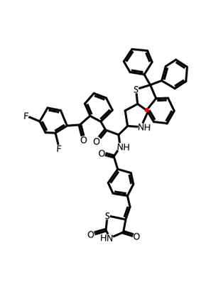 O=C1NC(=O)C(=Cc2ccc(C(=O)NC(C(=O)c3ccccc3C(=O)c3ccc(F)cc3F)C3CC(SC(c4ccccc4)(c4ccccc4)c4ccccc4)CN3)cc2)S1